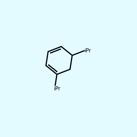 CC(C)C1=CC=CC(C(C)C)C1